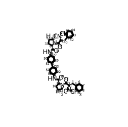 CN(C)[C@H](Cc1ccccc1)C(=O)N1CCC[C@H]1C(=O)Nc1ccc(-c2ccc(NC(=O)[C@@H]3CCCN3C(=O)[C@@H](Cc3ccccc3)N(C)C)cc2)cc1